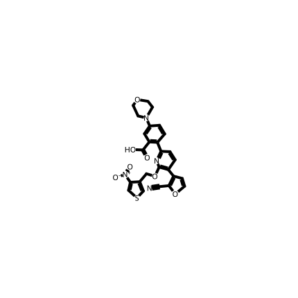 N#Cc1occc1-c1ccc(-c2ccc(N3CCOCC3)cc2C(=O)O)nc1OCc1cscc1[N+](=O)[O-]